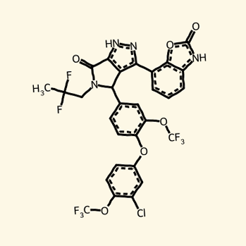 CC(F)(F)CN1C(=O)c2[nH]nc(-c3cccc4[nH]c(=O)oc34)c2C1c1ccc(Oc2ccc(OC(F)(F)F)c(Cl)c2)c(OC(F)(F)F)c1